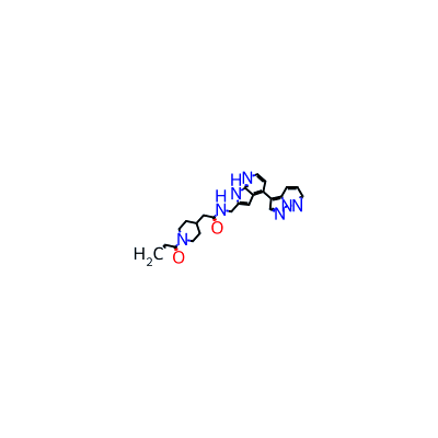 C=CC(=O)N1CCC(CC(=O)NCc2cc3c(-c4cnn5ncccc45)ccnc3[nH]2)CC1